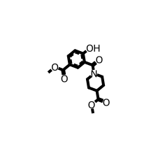 COC(=O)c1ccc(O)c(C(=O)N2CCC(C(=O)OC)CC2)c1